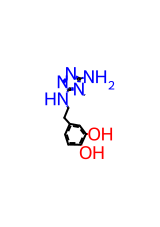 Cn1c(N)nnc1NCCc1ccc(O)c(O)c1